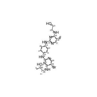 C[C@@H](O)[C@@H](C)Nc1nc(Nc2ccc(Nc3ncc(F)c(NCCO)n3)cc2)ncc1Br